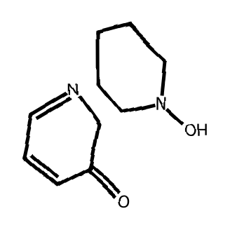 O=C1C=CC=NC1.ON1CCCCC1